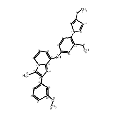 CCc1cn(-c2ccc(Nc3cccn4c(C)c(-c5cccc(OC)c5)nc34)cc2CO)cn1